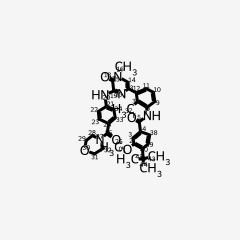 COc1cc(C(=O)Nc2cccc(-c3cn(C)c(=O)c(Nc4ccc(C(=O)N5CCOCC5)cc4)n3)c2C)ccc1C(C)(C)C